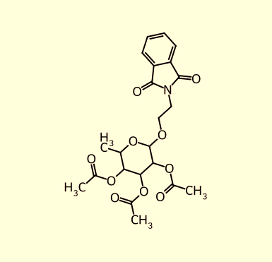 CC(=O)OC1C(C)OC(OCCN2C(=O)c3ccccc3C2=O)C(OC(C)=O)C1OC(C)=O